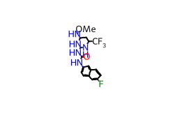 CONC1CC(C(F)(F)F)NC(NC(=O)Nc2ccc3cc(F)ccc3c2)N1